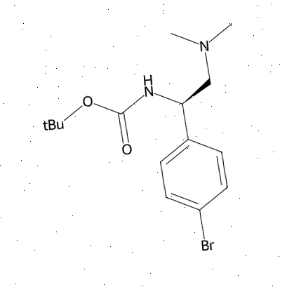 CN(C)C[C@H](NC(=O)OC(C)(C)C)c1ccc(Br)cc1